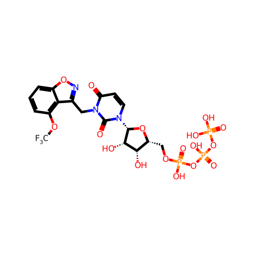 O=c1ccn([C@@H]2O[C@H](COP(=O)(O)OP(=O)(O)OP(=O)(O)O)[C@H](O)[C@@H]2O)c(=O)n1Cc1noc2cccc(OC(F)(F)F)c12